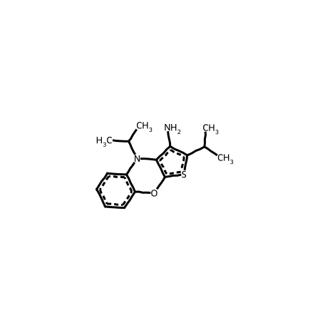 CC(C)c1sc2c(c1N)N(C(C)C)c1ccccc1O2